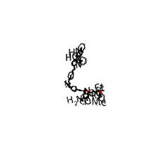 CC[C@H]1C(COc2ncc(C#CC3CCC(CN(C)CCCOCCCc4cccc5c4n(C)c(=O)n5C4CCC(=O)NC4O)CC3)c3cc(C(N)=O)c(OC)cc23)NC(=O)[C@H]1F